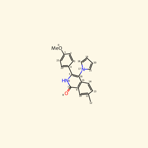 COc1ccc(-c2[nH]c(=O)c3cc(C)ccc3c2-n2cccc2)cc1